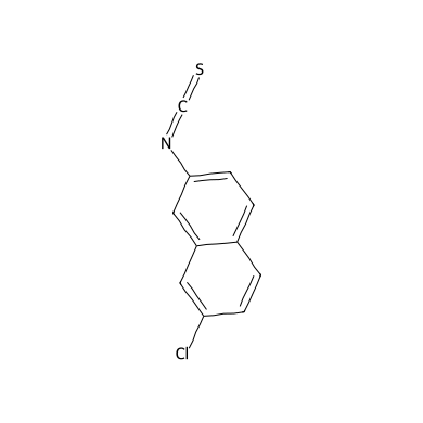 S=C=Nc1ccc2ccc(Cl)cc2c1